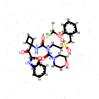 O=C(NC1(C(=O)c2nc3ccccc3o2)CCC1)N(CCS(=O)(=O)Cc1ccccc1OC(F)F)C(=O)N1CCOCC1